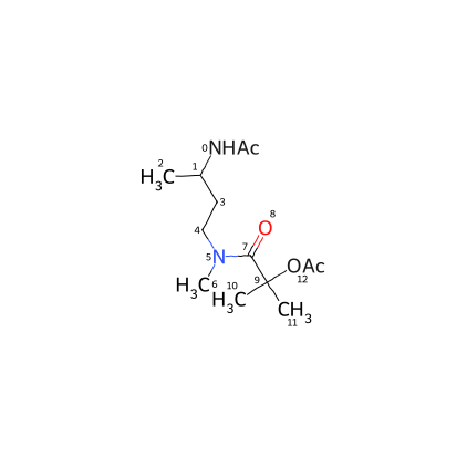 CC(=O)NC(C)CCN(C)C(=O)C(C)(C)OC(C)=O